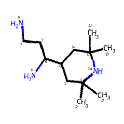 CC1(C)CC(C(N)CCN)CC(C)(C)N1